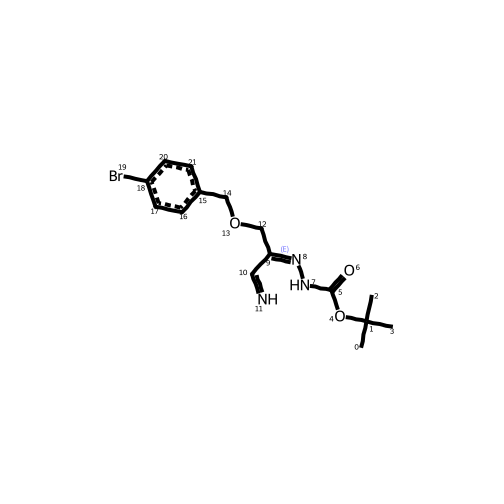 CC(C)(C)OC(=O)N/N=C(\C=N)COCc1ccc(Br)cc1